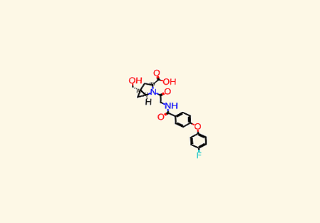 O=C(NCC(=O)N1[C@H]2C[C@@]2(CO)C[C@H]1C(=O)O)c1ccc(Oc2ccc(F)cc2)cc1